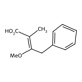 COC(Cc1ccccc1)=C(C)C(=O)O